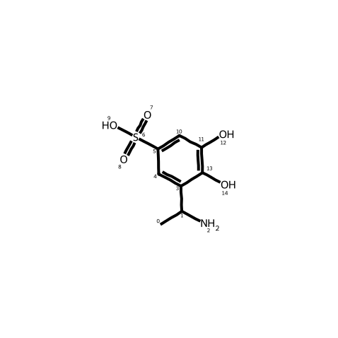 CC(N)c1cc(S(=O)(=O)O)cc(O)c1O